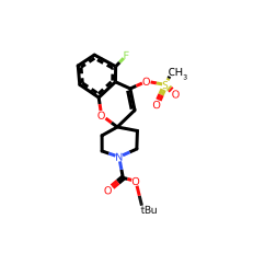 CC(C)(C)OC(=O)N1CCC2(C=C(OS(C)(=O)=O)c3c(F)cccc3O2)CC1